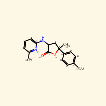 CCCc1cccc(NC2CC(C)(c3ccc(C(C)(C)C)cc3)OC2=O)n1